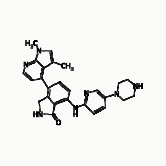 Cc1cn(C)c2nccc(-c3ccc(Nc4ccc(N5CCNCC5)cn4)c4c3CNC4=O)c12